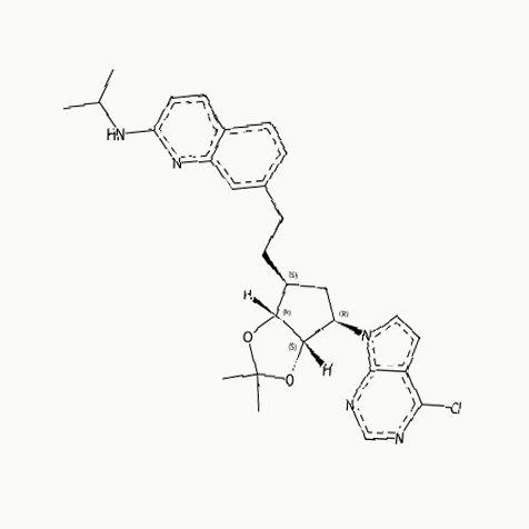 CC(C)Nc1ccc2ccc(CC[C@H]3C[C@@H](n4ccc5c(Cl)ncnc54)[C@@H]4OC(C)(C)O[C@H]34)cc2n1